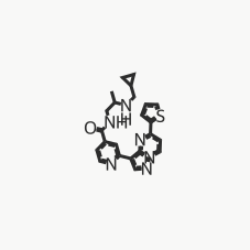 CC(CNC(=O)c1ccnc(-c2cnn3ccc(-c4cccs4)nc23)c1)NCC1CC1